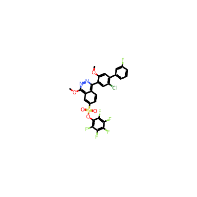 COc1cc(-c2cccc(F)c2)c(Cl)cc1-c1nnc(OC)c2cc(S(=O)(=O)Oc3c(F)c(F)c(F)c(F)c3F)ccc12